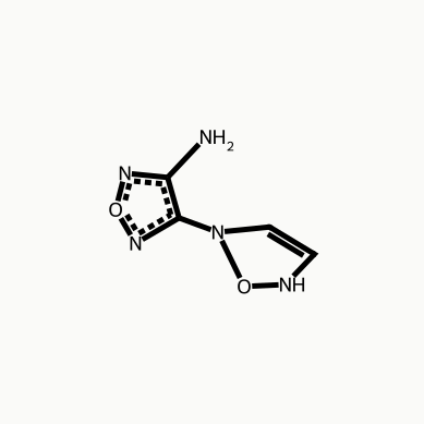 Nc1nonc1N1C=CNO1